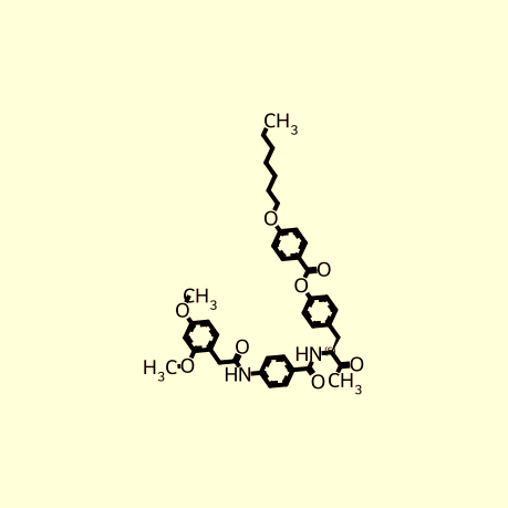 CCCCCCCOc1ccc(C(=O)Oc2ccc(C[C@H](NC(=O)c3ccc(NC(=O)Cc4ccc(OC)cc4OC)cc3)C(C)=O)cc2)cc1